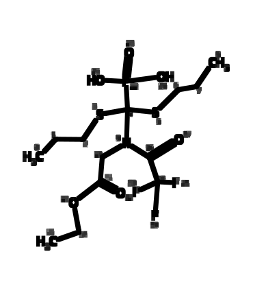 CCCSC(SCCC)(N(CC(=O)OCC)C(=O)C(F)(F)F)P(=O)(O)O